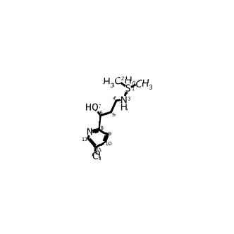 C[SH](C)NCCC(O)c1ccc(Cl)cn1